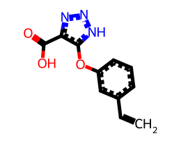 C=Cc1cccc(Oc2[nH]nnc2C(=O)O)c1